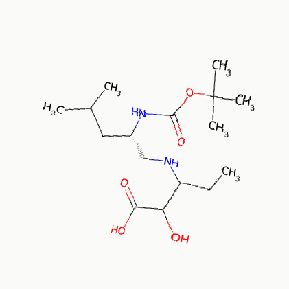 CCC(NC[C@H](CC(C)C)NC(=O)OC(C)(C)C)C(O)C(=O)O